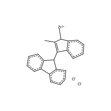 CC1=C(C2c3ccccc3-c3ccccc32)c2ccccc2[CH]1[Zr+2].[Cl-].[Cl-]